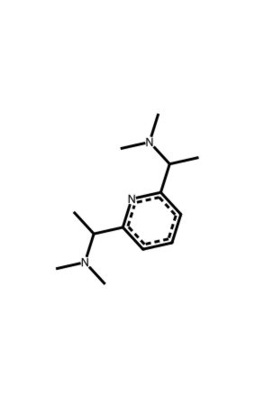 CC(c1cccc(C(C)N(C)C)n1)N(C)C